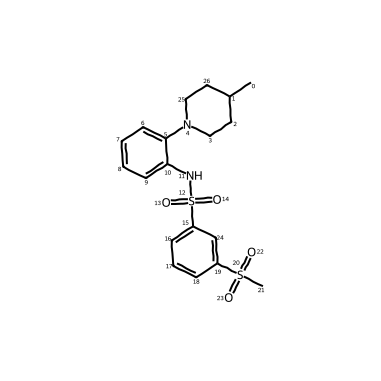 CC1CCN(c2ccccc2NS(=O)(=O)c2cccc(S(C)(=O)=O)c2)CC1